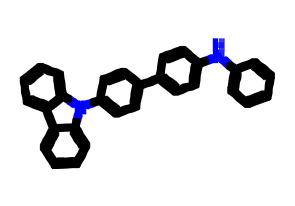 c1ccc(Nc2ccc(-c3ccc(-n4c5ccccc5c5ccccc54)cc3)cc2)cc1